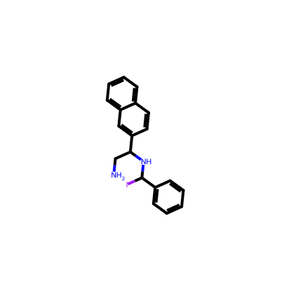 NCC(NC(I)c1ccccc1)c1ccc2ccccc2c1